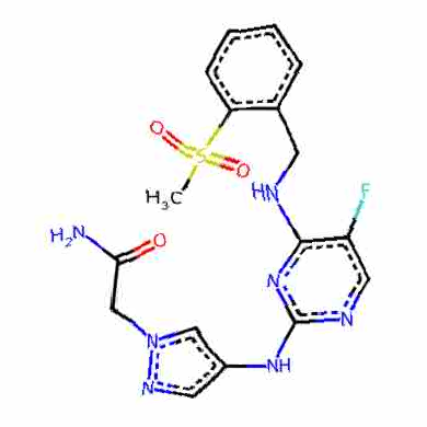 CS(=O)(=O)c1ccccc1CNc1nc(Nc2cnn(CC(N)=O)c2)ncc1F